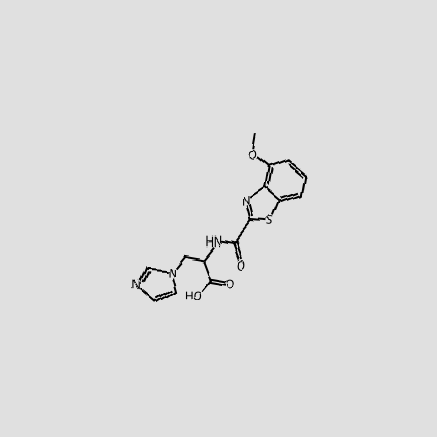 COc1cccc2sc(C(=O)NC(Cn3ccnc3)C(=O)O)nc12